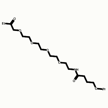 CCC(=O)COCCOCCOCCOCCNC(=O)CCCOC(C)C